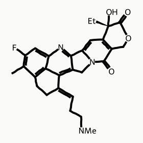 CC[C@@]1(O)C(=O)OCc2c1cc1n(c2=O)Cc2c-1nc1cc(F)c(C)c3c1c2/C(=C/CCNC)CC3